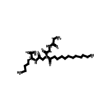 NCCCC[C@H](NC(=O)CN(C(=O)CCCCCCCCCCS)C(=O)CNC(=O)CN)C(=O)O